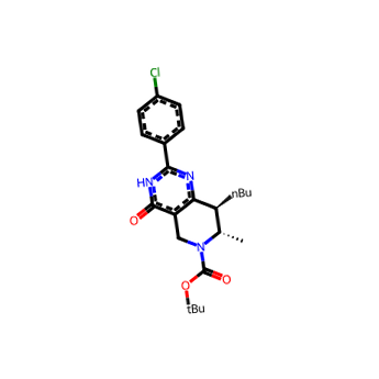 CCCC[C@@H]1c2nc(-c3ccc(Cl)cc3)[nH]c(=O)c2CN(C(=O)OC(C)(C)C)[C@H]1C